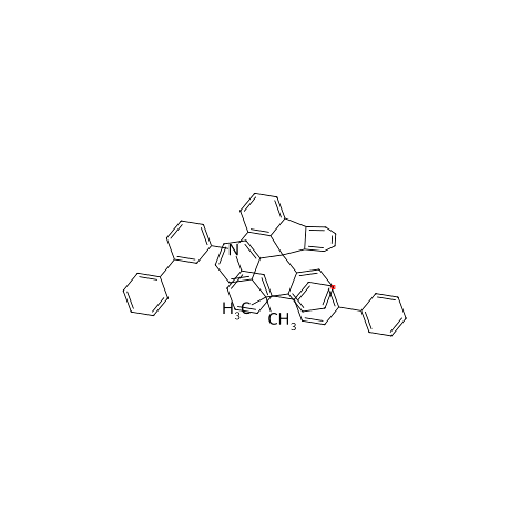 CC1(C)c2ccccc2C2(c3ccccc3-c3cccc(N(c4cccc(-c5ccccc5)c4)c4cccc(-c5ccc(-c6ccccc6)cc5)c4)c32)c2ccccc21